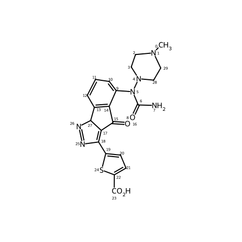 CN1CCN(N(C(N)=O)c2cccc3c2C(=O)C2=C(c4ccc(C(=O)O)s4)N=NC23)CC1